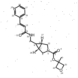 CC1(OC(=O)N2C[C@@H]3C(CNC(=O)/C=C/c4cccnc4)[C@@H]3C2)COC1